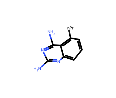 CCCc1cccc2nc(N)nc(N)c12